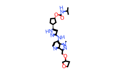 CC(C)NC(=O)O[C@@H]1CC[C@H](c2cc(Nc3ccnc4c(COC5CCOC5)nn(C)c34)n[nH]2)C1